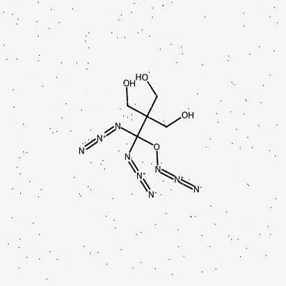 [N-]=[N+]=NOC(N=[N+]=[N-])(N=[N+]=[N-])C(CO)(CO)CO